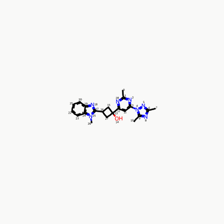 Cc1nc(-n2nc(C)nc2C)cc(C2(O)CC(c3nc4ccccc4n3C)C2)n1